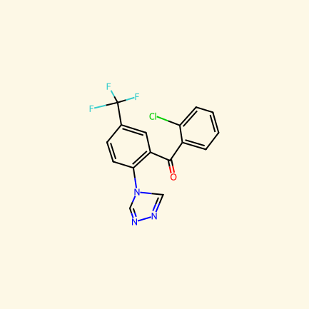 O=C(c1ccccc1Cl)c1cc(C(F)(F)F)ccc1-n1cnnc1